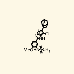 COc1ccc(-c2nn3nc(C45CC6CC(CC4C6)C5)c(Cl)c3[nH]2)cc1NS(C)(=O)=O